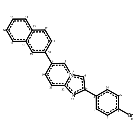 Brc1ccc(-c2cn3cc(-c4ccc5ccccc5c4)ccc3n2)cc1